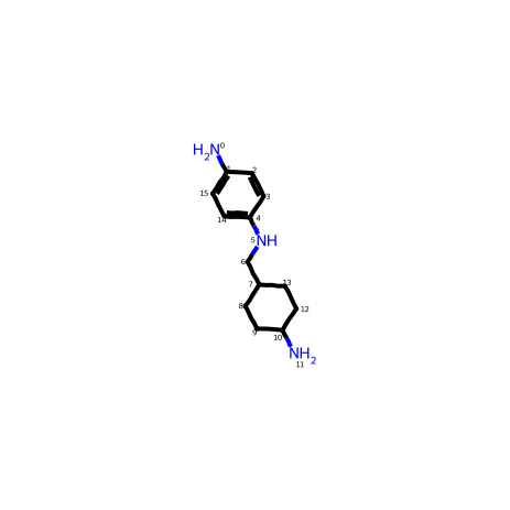 Nc1ccc(NCC2CCC(N)CC2)cc1